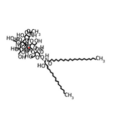 CCCCCCCCCCCCC/C=C/[C@@H](O)[C@H](CO[C@@H]1OC(CO)[C@@H](O[C@@H]2OC(CO)[C@H](O[C@@H]3OC(CO)[C@H](O)[C@H](O)C3NC(C)=O)[C@H](O[C@]3(C(=O)O)CC(O)[C@@H](NC(=O)CO)C([C@H](O)[C@H](O)CO)O3)C2O)[C@H](O)C1O)NC(=O)CCCCCCCCCCCCCCCCCCCCC